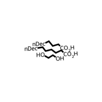 CCCCCCCCCCCCCC(=O)O.CCCCCCCCCCCCCCCC(=O)O.OCCO